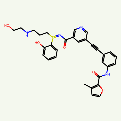 Cc1ccoc1C(=O)Nc1cccc(C#Cc2cncc(C(=O)N=S(CCCNCCO)c3ccccc3O)c2)c1